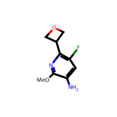 COc1nc(C2COC2)c(F)cc1N